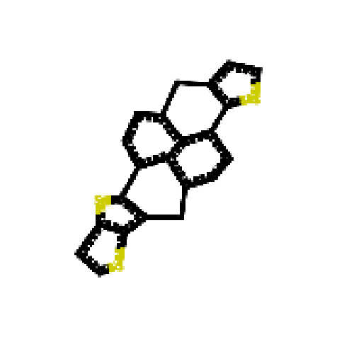 c1cc2c(s1)-c1ccc3c4c(ccc(c14)C2)-c1sc2ccsc2c1C3